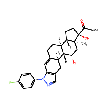 CNC(=O)[C@@]1(O)CC[C@H]2[C@@H]3CCC4=Cc5c(cnn5-c5ccc(F)cc5)C[C@]4(C)[C@H]3[C@@H](O)C[C@@]21C